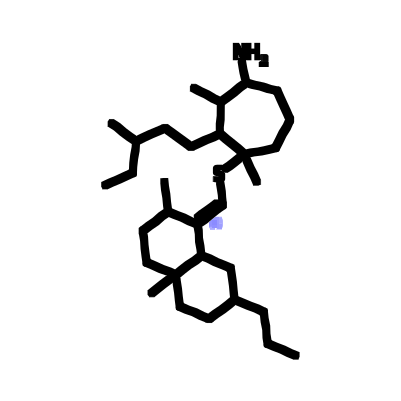 CCCC1CCC2(C)CCC(C)/C(=C\SC3(C)CCCC(N)C(C)C3CCC(C)CC)C2C1